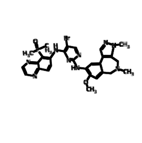 COc1cc2c(cc1Nc1ncc(Br)c(Nc3ccc4nccnc4c3P(C)(C)=O)n1)-c1cnn(C)c1CN(C)C2